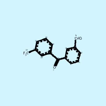 O=Cc1cccc(C(=O)c2cccc(C(F)(F)F)c2)c1